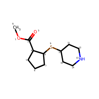 COC(=O)C1CCCC1SC1CCNCC1